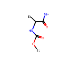 CCOC(=O)NC(CC)C([NH])=O